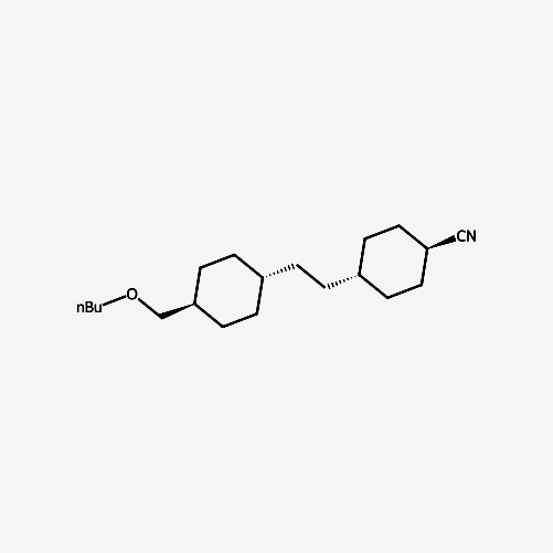 CCCCOC[C@H]1CC[C@H](CC[C@H]2CC[C@H](C#N)CC2)CC1